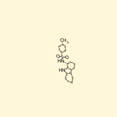 Cc1ccc(S(=O)(=O)Nc2cccc3c2[nH]c2ccccc23)cc1